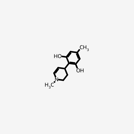 Cc1cc(O)c(C2C=CN(C)CC2)c(O)c1